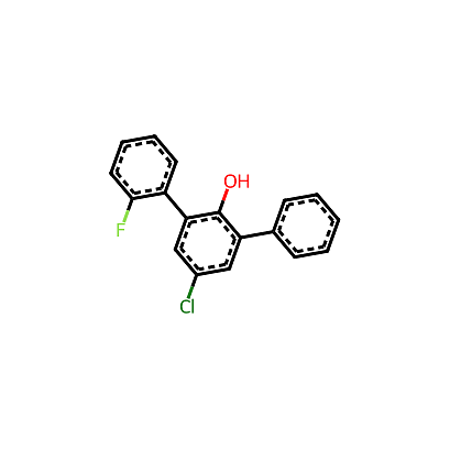 Oc1c(-c2ccccc2)cc(Cl)cc1-c1ccccc1F